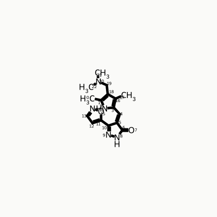 Cc1[nH]c(/C=C2/C(=O)NN=C2c2ccno2)c(C)c1CN(C)C